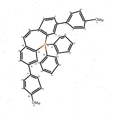 COc1ccc(-c2ccc3c(c2)S(c2ccccc2)(c2ccccc2)c2cc(-c4ccc(OC)cc4)ccc2C=C3)cc1